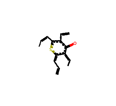 C=C/C=c1/sc(/C=C\C)c(C=C)c(=O)/c1=C/C